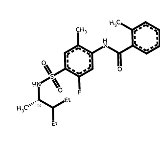 CCC(CC)[C@H](C)NS(=O)(=O)c1cc(C)c(NC(=O)c2ccccc2C)cc1F